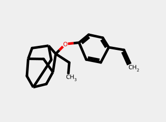 C=Cc1ccc(OC2(CC)C3CC4CC(C3)CC2C4)cc1